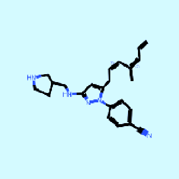 C=C/C=C(C)\C=C/Cc1cc(NCC2CCNC2)nn1-c1ccc(C#N)cc1